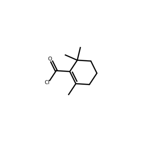 CC1=C(C(=O)Cl)C(C)(C)CCC1